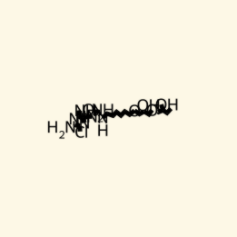 CCC(O)COCC(O)COCCCCCCNC(=N)NC(=O)c1nc(Cl)c(N)nc1N